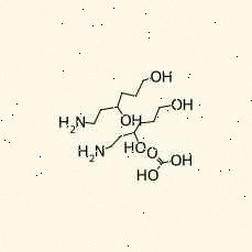 NCCC(O)CCCO.NCCC(O)CCCO.O=C(O)O